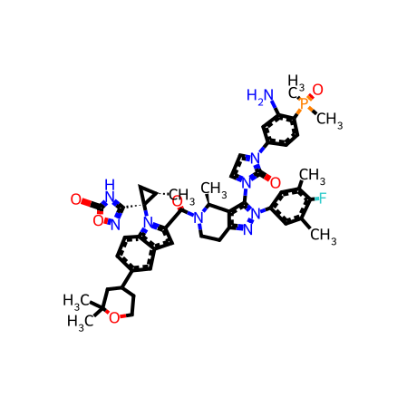 Cc1cc(-n2nc3c(c2-n2ccn(-c4ccc(P(C)(C)=O)c(N)c4)c2=O)[C@H](C)N(C(=O)c2cc4cc(C5CCOC(C)(C)C5)ccc4n2[C@@]2(c4noc(=O)[nH]4)C[C@@H]2C)CC3)cc(C)c1F